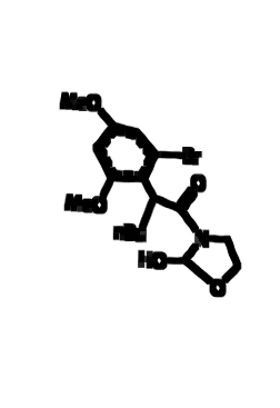 CCCCC(C(=O)N1CCOC1O)c1c(Br)cc(OC)cc1OC